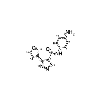 Nc1ccc(NC(=O)c2snnc2-c2ccoc2)cc1